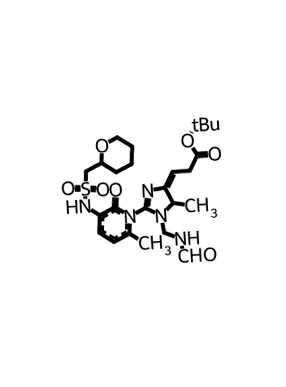 Cc1ccc(NS(=O)(=O)CC2CCCCO2)c(=O)n1C1=NC(=CCC(=O)OC(C)(C)C)C(C)N1CNC=O